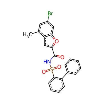 Cc1cc(Br)cc2oc(C(=O)NS(=O)(=O)c3ccccc3-c3ccccc3)cc12